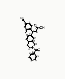 Cc1cc(C#N)ccc1C(CC(=O)O)c1ccc2c(c1)CN(C(=O)c1ccccc1)CC2